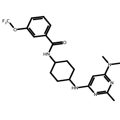 Cc1nc(NC2CCC(NC(=O)c3cccc(OC(F)(F)F)c3)CC2)cc(N(C)C)n1